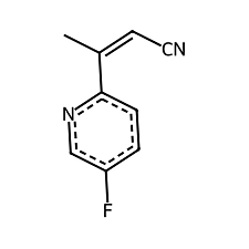 C/C(=C/C#N)c1ccc(F)cn1